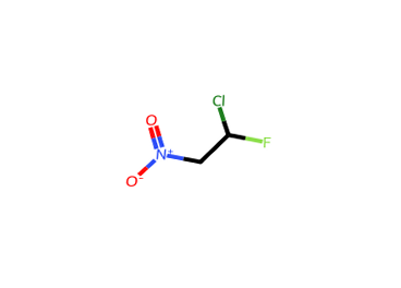 O=[N+]([O-])CC(F)Cl